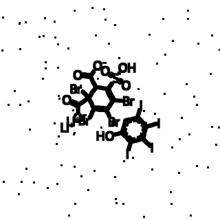 O=C([O-])C1C(S(=O)(=O)O)=C(Br)C(Br)=C(Br)C1(Br)C(=O)[O-].Oc1cc(I)c(I)c(I)c1I.[Li+].[Li+]